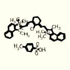 C[C+]1c2c(ccc3ccccc23)[N+](C)(C)C1C=CC1=C(Cl)C(=CC=C2C(C)c3c(ccc4ccccc34)[N+]2(C)C)CCC1.Cc1ccc(S(=O)(=O)O)cc1